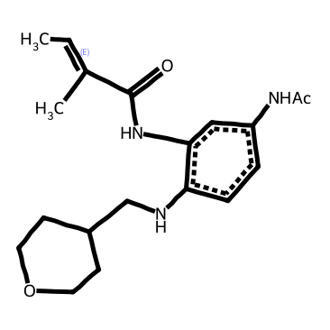 C/C=C(\C)C(=O)Nc1cc(NC(C)=O)ccc1NCC1CCOCC1